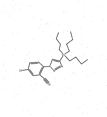 CCC[CH2][Sn]([CH2]CCC)([CH2]CCC)[c]1cn(-c2ccc(Cl)cc2C#N)nn1